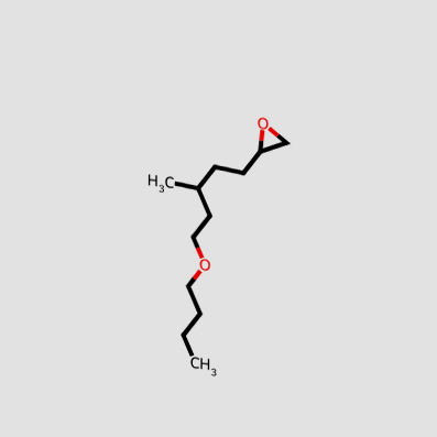 CCCCOCCC(C)CCC1CO1